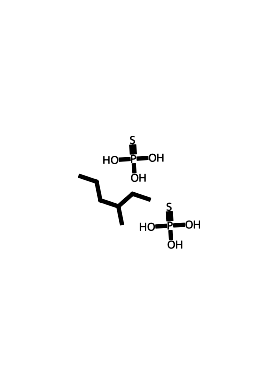 CCCC(C)CC.OP(O)(O)=S.OP(O)(O)=S